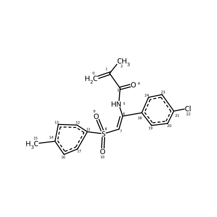 C=C(C)C(=O)NC(=CS(=O)(=O)c1ccc(C)cc1)c1ccc(Cl)cc1